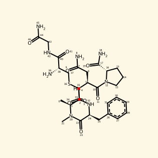 C[C@@H](C(=O)N[C@@H](CC(N)=O)C(=O)N1CCC[C@H]1C(N)=O)N(C)C(=O)[C@H](Cc1ccccc1)NC(=O)CSC[C@H](N)C(=O)NCC(N)=O